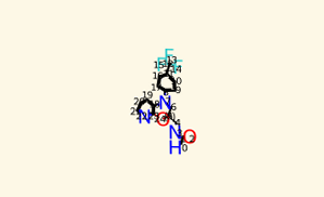 CC(=O)NC[C@@H]1CN(c2ccc(C(F)(F)F)cc2)c2cccnc2O1